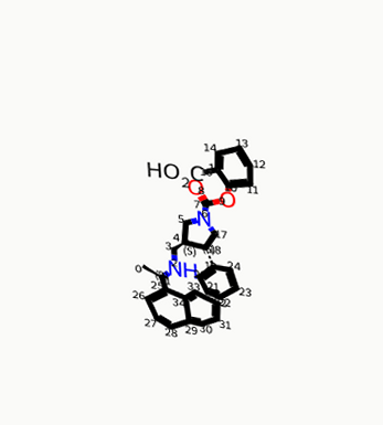 C[C@@H](NC[C@H]1CN(C(=O)Oc2ccccc2C(=O)O)C[C@@H]1c1ccccc1)c1cccc2ccccc12